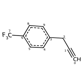 C#C[CH]c1ccc(C(F)(F)F)cc1